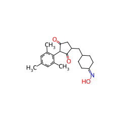 Cc1cc(C)c(C2C(=O)CC(CC3CCC(=NO)CC3)C2=O)c(C)c1